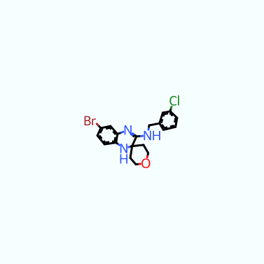 Clc1cccc(CNC2=Nc3cc(Br)ccc3NC23CCOCC3)c1